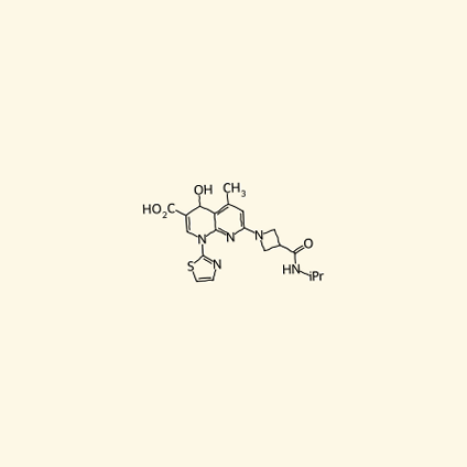 Cc1cc(N2CC(C(=O)NC(C)C)C2)nc2c1C(O)C(C(=O)O)=CN2c1nccs1